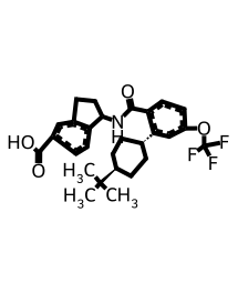 CC(C)(C)[C@H]1CC[C@H](c2cc(OC(F)(F)F)ccc2C(=O)NC2CCc3cc(C(=O)O)ccc32)CC1